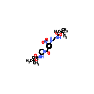 CC(C)(C)OC(=O)NCCNc1ccc(C(=O)N2CCC[C@@H](NC(=O)OC(C)(C)C)C2)cc1[N+](=O)[O-]